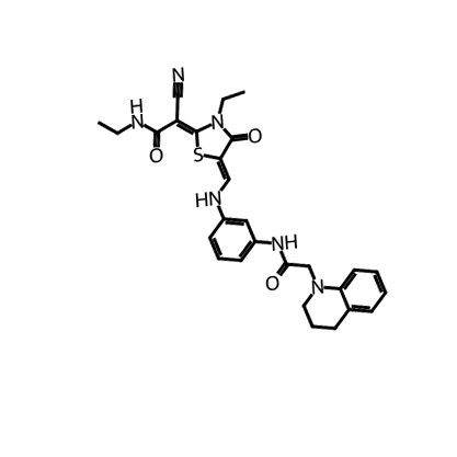 CCNC(=O)C(C#N)=c1sc(=CNc2cccc(NC(=O)CN3CCCc4ccccc43)c2)c(=O)n1CC